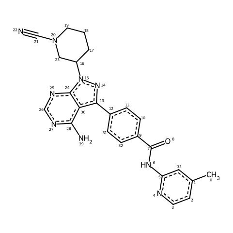 Cc1ccnc(NC(=O)c2ccc(-c3nn(C4CCCN(C#N)C4)c4ncnc(N)c34)cc2)c1